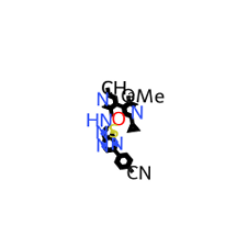 COc1cnc(C2CC2)cc1-c1cc(C)ncc1C(=O)Nc1nc2ncc(-c3ccc(C#N)cc3)nc2s1